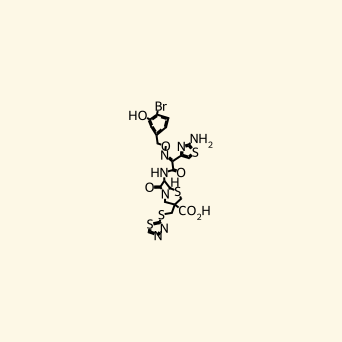 Nc1nc(C(=NOCc2ccc(Br)c(O)c2)C(=O)NC2C(=O)N3CC(CSc4nncs4)(C(=O)O)CS[C@H]23)cs1